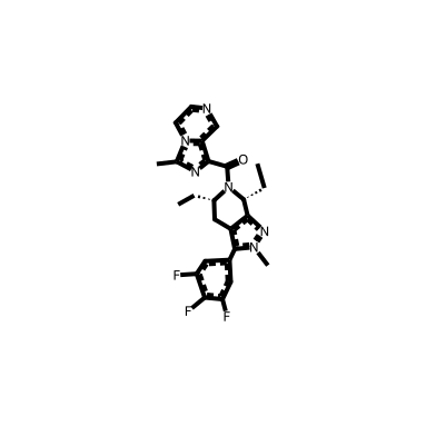 CC[C@H]1Cc2c(nn(C)c2-c2cc(F)c(F)c(F)c2)[C@@H](CC)N1C(=O)c1nc(C)n2ccncc12